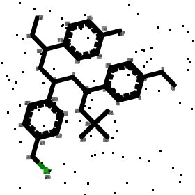 CCc1ccc(C(CC(CC(CC)c2ccc(C)cc2)c2ccc(CBr)cc2)CC(C)(C)C)cc1